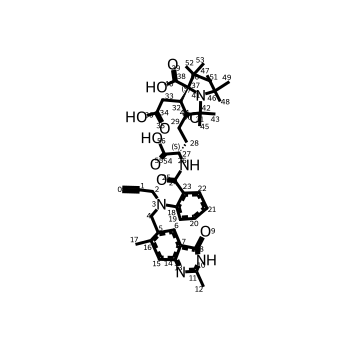 C#CCN(Cc1cc2c(=O)[nH]c(C)nc2cc1C)c1ccccc1C(=O)N[C@@H](CCC(=O)C(CC(=O)O)[C@](C(=O)O)(N(C(C)(C)C)C(C)(C)C)C(C)(C)C)C(=O)O